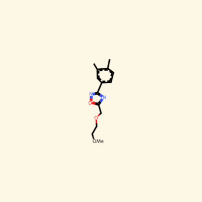 COCCOCc1nc(-c2ccc(C)c(C)c2)no1